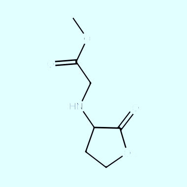 COC(=O)CNC1CCOC1=O